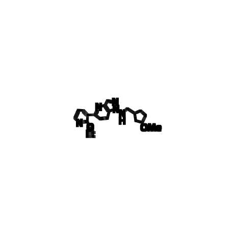 CCOc1ncccc1-c1ccc2c(cnn2NCC2CCC(OC)C2)n1